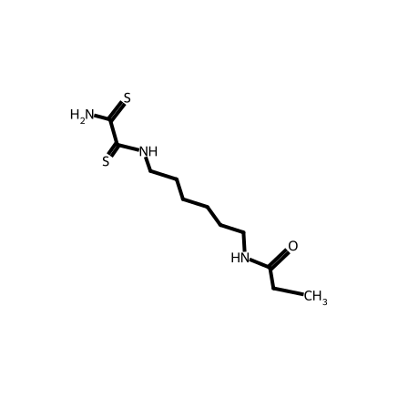 CCC(=O)NCCCCCCNC(=S)C(N)=S